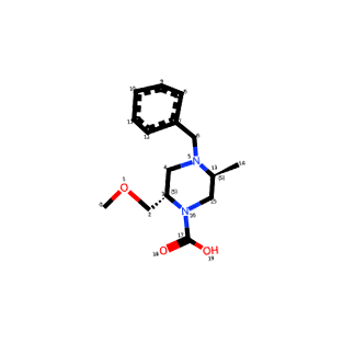 COC[C@@H]1CN(Cc2ccccc2)[C@@H](C)CN1C(=O)O